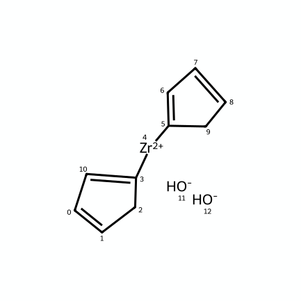 C1=CC[C]([Zr+2][C]2=CC=CC2)=C1.[OH-].[OH-]